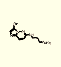 CNCCCNc1ccc2ncc(Br)n2n1